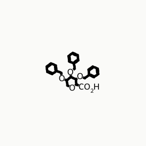 O=C(O)C1OCC(OCc2ccccc2)C(OCc2ccccc2)C1OCc1ccccc1